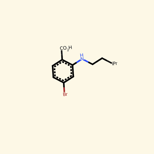 CC(C)CCNc1cc(Br)ccc1C(=O)O